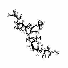 C[C@@H](NC(=O)C(F)C(F)CF)c1ccc2nc([C@@H](NC(=O)c3cnn(CC(F)C(F)F)c3)C3CCC(F)(F)CC3)[nH]c2c1